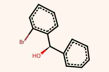 O[C@H](c1ccccc1)c1ccccc1Br